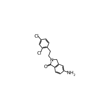 Nc1ccc2c(c1)CN(CCc1ccc(Cl)cc1Cl)C2=O